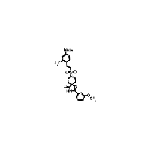 CNc1ccc(C=CS(=O)(=O)N2CCC3(CC2)N=C(c2cccc(OC(F)(F)F)c2)NC3=O)c(C)c1